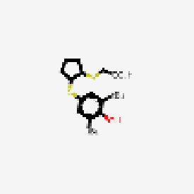 CC(C)(C)c1cc(SC2CCCC2SCC(=O)O)cc(C(C)(C)C)c1O